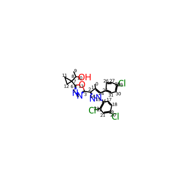 Cc1c(-c2nnc(C3(C(C)O)CC3)o2)nn(-c2ccc(Cl)cc2Cl)c1-c1ccc(Cl)cc1